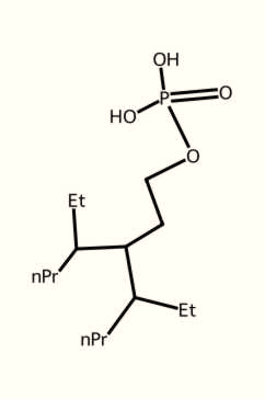 CCCC(CC)C(CCOP(=O)(O)O)C(CC)CCC